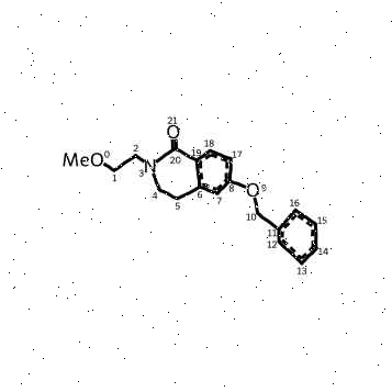 COCCN1CCc2cc(OCc3ccccc3)ccc2C1=O